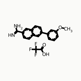 COc1cccc(-c2ccc3cc(C(=N)N)ccc3c2)c1.O=C(O)C(F)(F)F